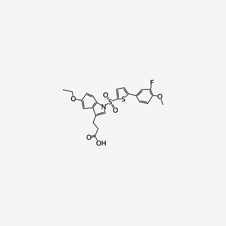 CCOc1ccc2c(c1)c(CCC(=O)O)cn2S(=O)(=O)c1ccc(-c2ccc(OC)c(F)c2)s1